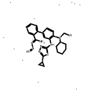 CC(C)CN(c1ccc(-c2ccccc2/C(N)=N/N=N)cc1Nc1nnc(C2CC2)s1)C1CCCCC1